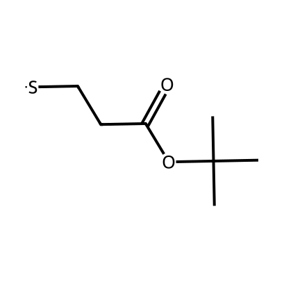 CC(C)(C)OC(=O)CC[S]